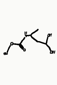 CC(CC(O)O)NC(=O)OC(C)(C)C